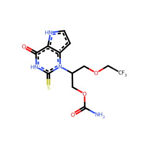 NC(=O)OCC(COCC(F)(F)F)n1c(=S)[nH]c(=O)c2[nH]ccc21